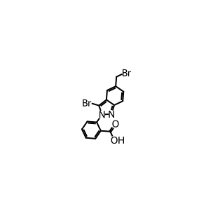 O=C(O)c1ccccc1-n1nc2ccc(CBr)cc2c1Br